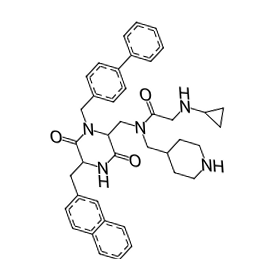 O=C1NC(Cc2ccc3ccccc3c2)C(=O)N(Cc2ccc(-c3ccccc3)cc2)C1CN(CC1CCNCC1)C(=O)CNC1CC1